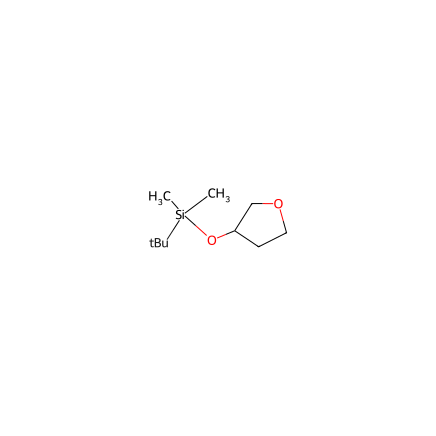 CC(C)(C)[Si](C)(C)OC1CCOC1